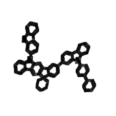 c1ccc(-c2ccc(-n3c4ccccc4c4ccc(-c5ccc6c(c5)-c5cc7c(cc5C65CCCCC5)c5ccccc5n7-c5ccc6c(c5)sc5ccccc56)cc43)cc2)cc1